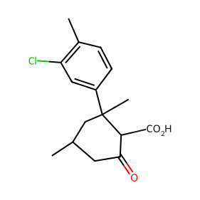 Cc1ccc(C2(C)CC(C)CC(=O)C2C(=O)O)cc1Cl